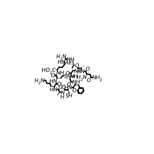 CSCC[C@H](NC(=O)[C@H](C)NC(=O)[C@@H](N)CC(N)=O)C(=O)N[C@@H](C)C(=O)N[C@@H](Cc1ccccc1)C(=O)N[C@@H](CS)C(=O)N[C@@H](C)C(=O)N[C@@H](CCCCN)C(=O)N[C@@H](CCSC)C(=O)N[C@@H](CCCNC(=N)N)C(=O)O